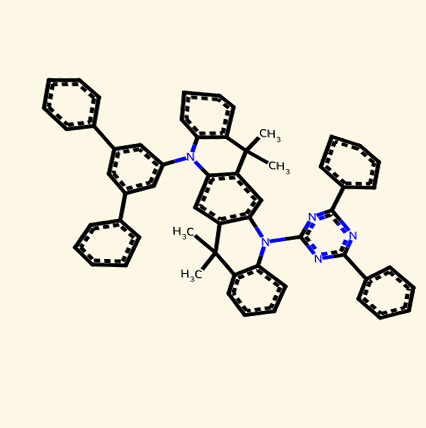 CC1(C)c2ccccc2N(c2cc(-c3ccccc3)cc(-c3ccccc3)c2)c2cc3c(cc21)N(c1nc(-c2ccccc2)nc(-c2ccccc2)n1)c1ccccc1C3(C)C